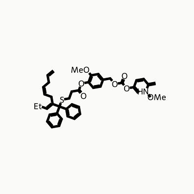 C=CC/C=C\C/C(=C\CC)C(SCCC(=O)Oc1ccc(COC(=O)OC(=C)/C=C\C(=C)NOC)cc1OC)(c1ccccc1)c1ccccc1